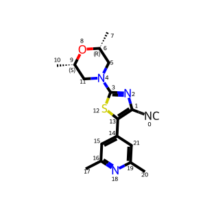 [C-]#[N+]c1nc(N2C[C@@H](C)O[C@@H](C)C2)sc1-c1cc(C)nc(C)c1